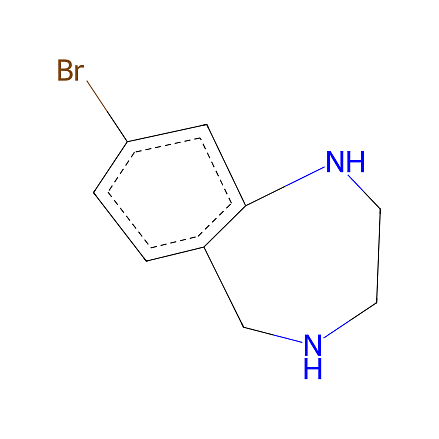 Brc1ccc2c(c1)NCCNC2